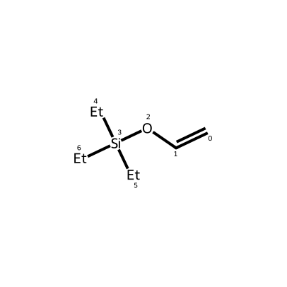 C=CO[Si](CC)(CC)CC